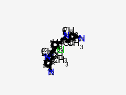 CCN1/C(=C/C=C2\CCCC(/C=C/C3=[N+](CC)c4ccc(C#N)cc4C3(C)C)=C2Cl)C(C)(C)c2cc(C#N)ccc21